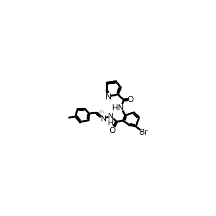 Cc1ccc(/C=N/NC(=O)c2cc(Br)ccc2NC(=O)c2ccccn2)cc1